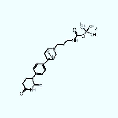 CC(C)(C)OC(=O)NCCCN1CC2CCC1CN2c1ccc(C2CCC(=O)NC2=O)cc1